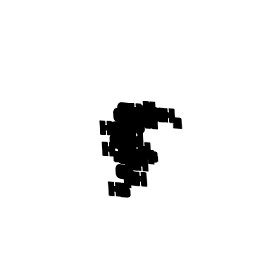 CC(C)(COP(=O)(O)OP(=O)(O)OCC1OC(n2cnc3c(N)ncnc32)C(O)C1OP(=O)(O)O)[C@@H](O)C(=O)NCCC(=O)NCCS